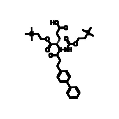 C[Si](C)(C)CCOC(=O)NN(C(=O)CCc1ccc(-c2ccccc2)cc1)[C@@H](CCC(=O)O)C(=O)OCC[Si](C)(C)C